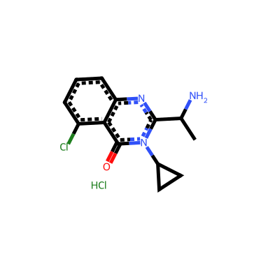 CC(N)c1nc2cccc(Cl)c2c(=O)n1C1CC1.Cl